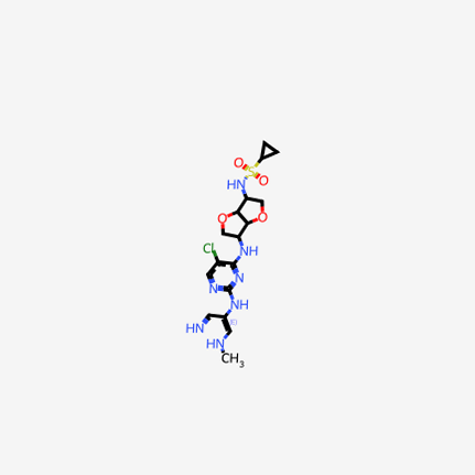 CN/C=C(\C=N)Nc1ncc(Cl)c(NC2COC3C(NS(=O)(=O)C4CC4)COC23)n1